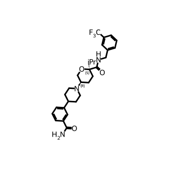 CC(C)[C@]1(C(=O)NCc2cccc(C(F)(F)F)c2)CC[C@@H](N2CCC(c3cccc(C(N)=O)c3)CC2)CO1